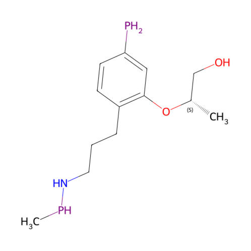 CPNCCCc1ccc(P)cc1O[C@@H](C)CO